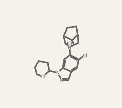 CC1(O)C2CCC1CN(c1cc3c(cnn3C3CCCCO3)cc1Cl)C2